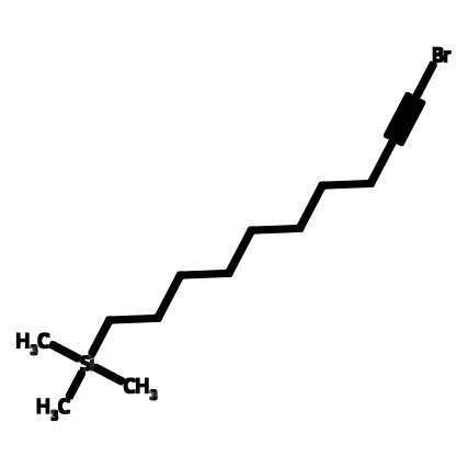 C[Si](C)(C)CCCCCCCCC#CBr